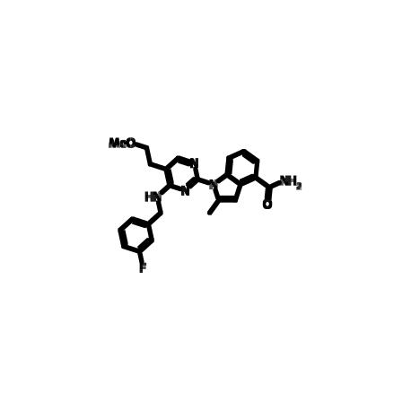 COCCc1cnc(-n2c(C)cc3c(C(N)=O)cccc32)nc1NCc1cccc(F)c1